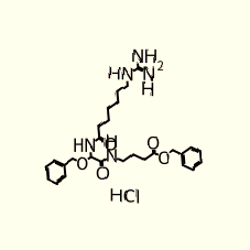 Cl.N=C(N)NCCCCCCC(=O)NC(OCc1ccccc1)C(=O)NCCCC(=O)OCc1ccccc1